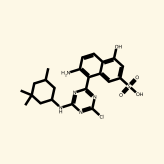 CC1CC(Nc2nc(Cl)nc(-c3c(N)ccc4c(O)cc(S(=O)(=O)O)cc34)n2)CC(C)(C)C1